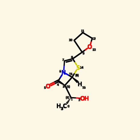 C[C@@H](O)[C@H]1C(=O)N2C=C(C3CCCO3)S[C@H]12